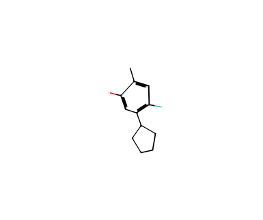 Cc1cc(F)c(C2CCCC2)cc1O